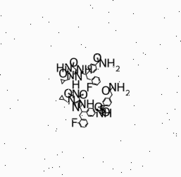 NC(=O)Cc1ccc(S(=O)(=O)Nc2ccc(C(Cc3ccccc3F)c3nc4c([nH]3)c(=O)[nH]c(=O)n4CC3CC3)cc2)cc1.NC(=O)c1ccc(C(Cc2ccccc2F)c2nc3c([nH]2)c(=O)[nH]c(=O)n3CC2CC2)cc1